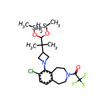 C[SiH2]OC(O[SiH2]C)C(C)(C)C1CN(c2c(Cl)ccc3c2CCN(C(=O)C(F)(F)F)CC3)C1